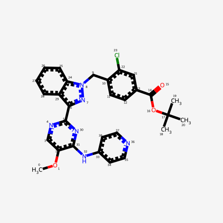 COc1cnc(-c2nn(Cc3ccc(C(=O)OC(C)(C)C)cc3Cl)c3ccccc23)nc1Nc1ccncc1